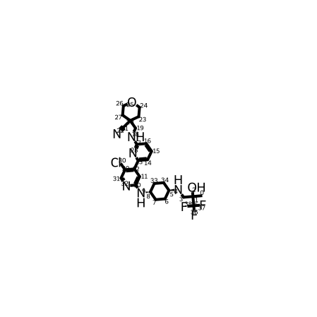 CC(O)(CN[C@H]1CC[C@H](Nc2cc(-c3cccc(NCC4(C#N)CCOCC4)n3)c(Cl)cn2)CC1)C(F)(F)F